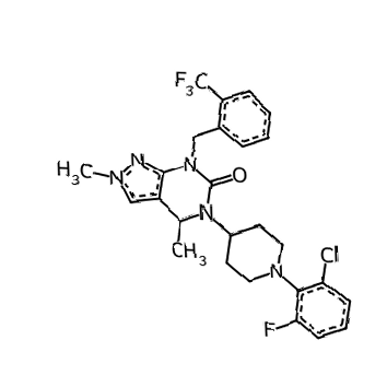 CC1c2cn(C)nc2N(Cc2ccccc2C(F)(F)F)C(=O)N1C1CCN(c2c(F)cccc2Cl)CC1